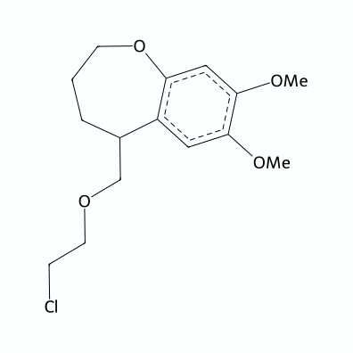 COc1cc2c(cc1OC)C(COCCCl)CCCO2